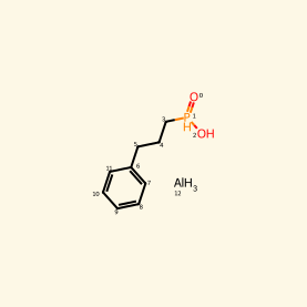 O=[PH](O)CCCc1ccccc1.[AlH3]